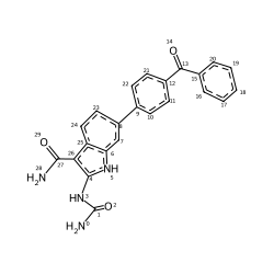 NC(=O)Nc1[nH]c2cc(-c3ccc(C(=O)c4ccccc4)cc3)ccc2c1C(N)=O